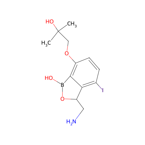 CC(C)(O)COc1ccc(I)c2c1B(O)OC2CN